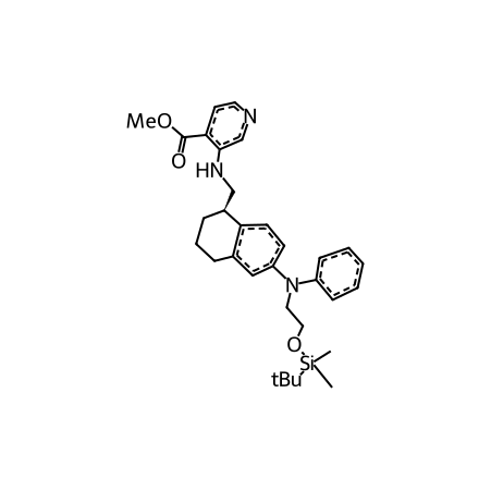 COC(=O)c1ccncc1NC[C@@H]1CCCc2cc(N(CCO[Si](C)(C)C(C)(C)C)c3ccccc3)ccc21